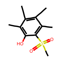 Cc1c(C)c(C)c(S(C)(=O)=O)c(O)c1C